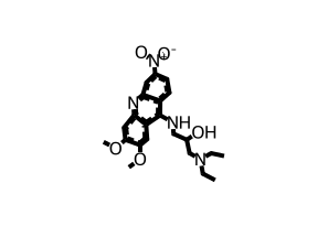 CCN(CC)CC(O)CNc1c2ccc([N+](=O)[O-])cc2nc2cc(OC)c(OC)cc12